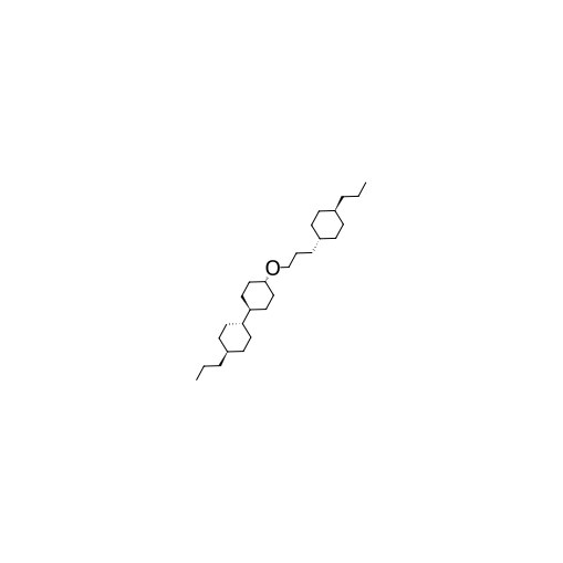 CCC[C@H]1CC[C@H](CCCO[C@H]2CC[C@H]([C@H]3CC[C@H](CCC)CC3)CC2)CC1